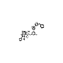 O=C(NCc1cc(F)cc(-c2cnn(-c3cnn(Cc4ccccc4)c3)c2)c1)c1ncnc2nc(C3CCCC3)[nH]c12